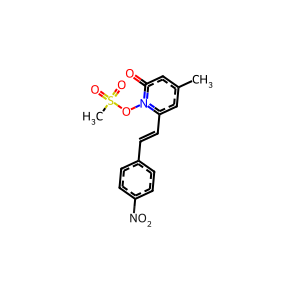 Cc1cc(C=Cc2ccc([N+](=O)[O-])cc2)n(OS(C)(=O)=O)c(=O)c1